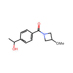 COC1CN(C(=O)c2ccc(C(C)O)cc2)C1